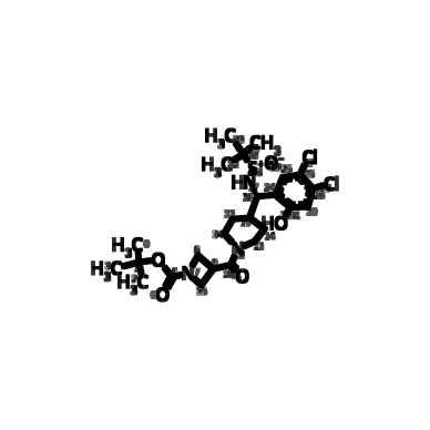 CC(C)(C)OC(=O)N1CC(C(=O)N2CCC([C@@H](N[S@@+]([O-])C(C)(C)C)c3cc(Cl)c(Cl)cc3O)CC2)C1